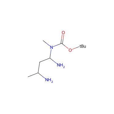 CC(N)CC(N)N(C)C(=O)OC(C)(C)C